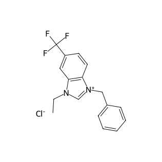 CCn1c[n+](Cc2ccccc2)c2ccc(C(F)(F)F)cc21.[Cl-]